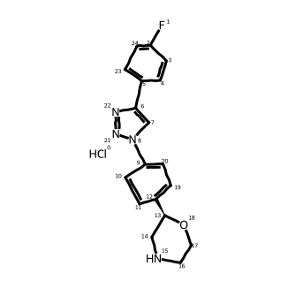 Cl.Fc1ccc(-c2cn(-c3ccc([C@@H]4CNCCO4)cc3)nn2)cc1